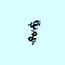 Cc1c(NC(=O)c2cc(Br)cn3cnnc23)cccc1-c1cccc2c1cnn2C